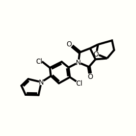 O=C1C2C3CCC(O3)C2C(=O)N1c1cc(Cl)c(-n2cccc2)cc1Cl